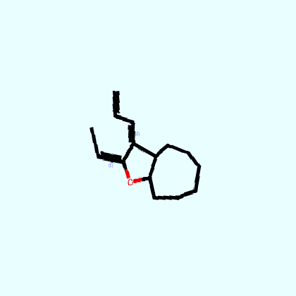 C=C/C=C1\C(=C/C)OC2CCCCCCC12